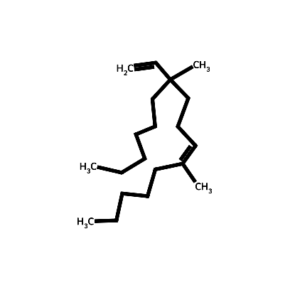 C=CC(C)(CCC=C(C)CCCCC)CCCCCC